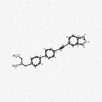 CCC(C)Cc1ccc(-c2ccc(C#Cc3ccc4nsnc4c3)cc2)cc1